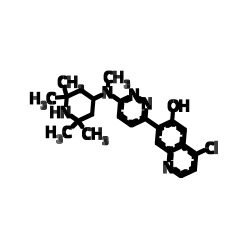 CN(c1ccc(-c2cc3nccc(Cl)c3cc2O)nn1)C1CC(C)(C)NC(C)(C)C1